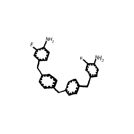 Nc1ccc(Cc2ccc(Cc3ccc(Cc4ccc(N)c(F)c4)cc3)cc2)cc1F